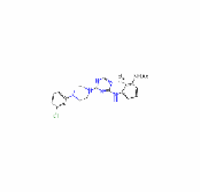 CC(=O)Nc1cccc(Nc2ncnc(N3CCN(c4cccc(Cl)c4)CC3)n2)c1C